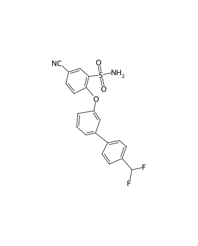 N#Cc1ccc(Oc2cccc(-c3ccc(C(F)F)cc3)c2)c(S(N)(=O)=O)c1